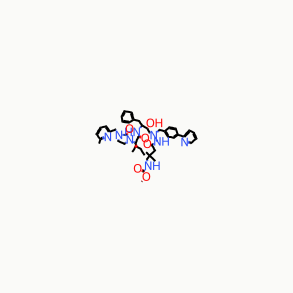 CCC(C)C(C(=O)NC(Cc1ccccc1)C(O)CN(Cc1ccc(-c2ccccn2)cc1)NC(=O)CC(C)(C)CNC(=O)OC)N1CCN(Cc2cccc(C)n2)C1=O